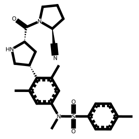 Cc1ccc(S(=O)(=O)N(C)c2cc(C)c([C@@H]3CN[C@H](C(=O)N4CCC[C@H]4C#N)C3)c(C)c2)cc1